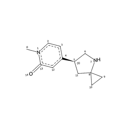 Cn1ccc([C@H]2CNC3(CC3)C2)cc1=O